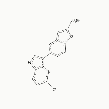 CCOC(=O)c1cc2cc(-c3cnc4ccc(Cl)nn34)ccc2o1